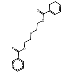 O=C(OCCOCCOC(=O)c1ccccc1)C1=CC=CCC1